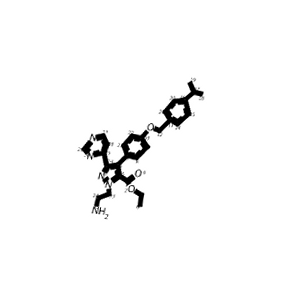 CCOC(=O)c1c(-c2ccc(OCc3ccc(C(C)C)cc3)cc2)c(-c2ccncn2)nn1CCN